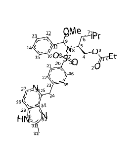 CCC(=O)OC[C@H](CC(C)C)N(C(OC)c1ccccc1)S(=O)(=O)c1ccc(Cc2nccc3[nH]c(C)nc23)cc1